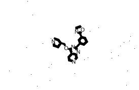 c1cc(-c2nc(OCc3ccncc3)c3ccncc3n2)cc(-c2ncco2)c1